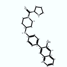 O=C([C@H]1CCCO1)N1CCC(Oc2ccc(-c3cc4ncccc4cc3O)cc2)CC1